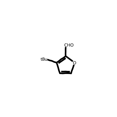 CC(C)(C)c1ccoc1C=O